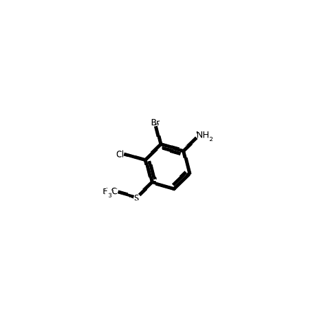 Nc1ccc(SC(F)(F)F)c(Cl)c1Br